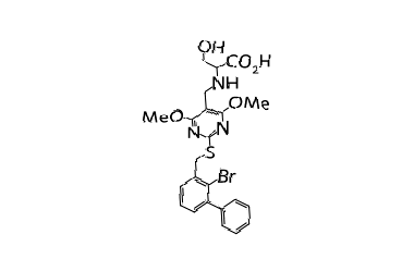 COc1nc(SCc2cccc(-c3ccccc3)c2Br)nc(OC)c1CNC(CO)C(=O)O